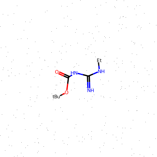 CCNC(=N)NC(=O)OC(C)(C)C